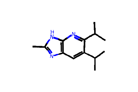 Cc1nc2cc(C(C)C)c(C(C)C)nc2[nH]1